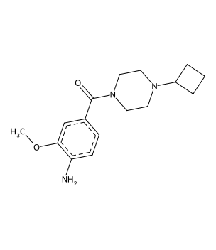 COc1cc(C(=O)N2CCN(C3CCC3)CC2)ccc1N